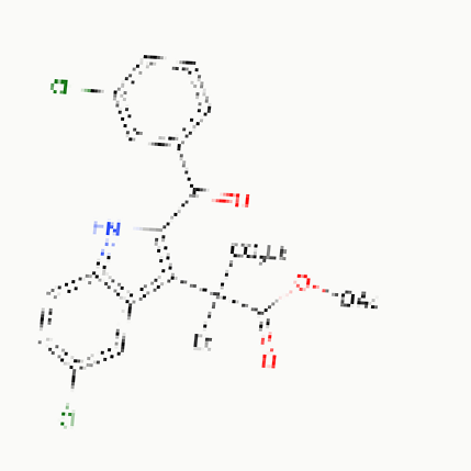 CCOC(=O)C(CC)(C(=O)OOC(C)=O)c1c(C(=O)c2cccc(Cl)c2)[nH]c2ccc(Cl)cc12